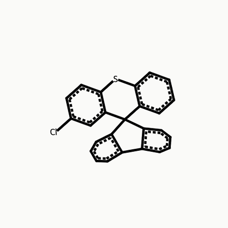 Clc1ccc2c(c1)C1(c3ccccc3S2)c2ccccc2-c2ccccc21